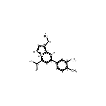 Cc1ccc(-c2cc(C(F)F)n3ncc(CO)c3n2)cc1C